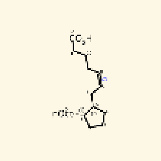 CCCCCCCC[C@H]1CCC[C@@H]1C/C=C\CCCC(=O)O